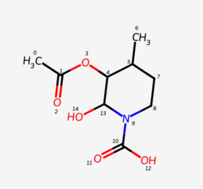 CC(=O)OC1C(C)CCN(C(=O)O)C1O